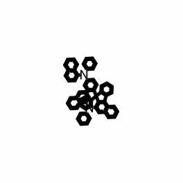 c1ccc(N(c2ccc3c(c2)-c2ccccc2C32c3ccccc3-c3c2c(N(c2ccccc2)c2cccc4ccccc24)cc2ccccc32)c2cccc3ccccc23)cc1